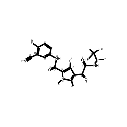 Cc1c(C(=O)C(=O)N[C@H](C)C(C)(F)F)c(Cl)c(C(=O)Nc2ccc(F)c(C#N)c2)n1C